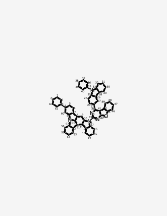 c1ccc(-c2ccc3c4cc5c(c6ccccc6n5-c5nc(-c6ccc7c(c6)c6ccccc6n7-c6ccccc6)c6c(n5)oc5ccccc56)c5c6ccccc6n(c3c2)c45)cc1